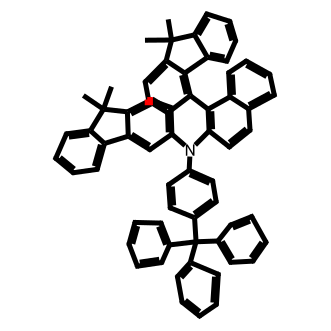 CC1(C)c2ccccc2-c2cc(N(c3ccc(C(c4ccccc4)(c4ccccc4)c4ccccc4)cc3)c3ccc4ccccc4c3-c3cccc4c3-c3ccccc3C4(C)C)ccc21